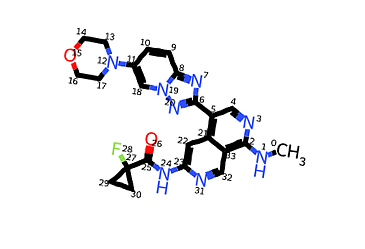 CNc1ncc(-c2nc3ccc(N4CCOCC4)cn3n2)c2cc(NC(=O)C3(F)CC3)ncc12